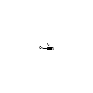 N#[C][K].[Ar]